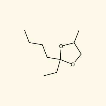 CCCCC1(CC)OCC(C)O1